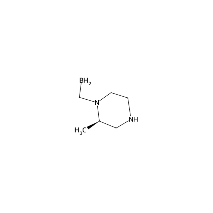 BCN1CCNC[C@H]1C